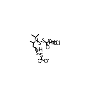 COC(=O)SSNCC(C)N(SSC(=O)OC)C(C)C.Cl.Cl